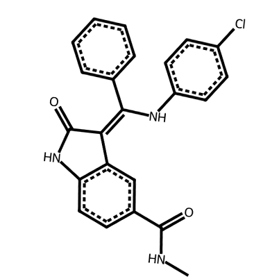 CNC(=O)c1ccc2c(c1)C(=C(Nc1ccc(Cl)cc1)c1ccccc1)C(=O)N2